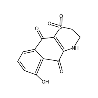 O=C1C2=C(NCCS2(=O)=O)C(=O)c2c(O)cccc21